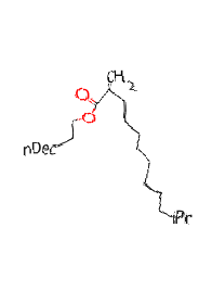 C=C(CCCCCCCCC(C)C)C(=O)OCCCCCCCCCCCC